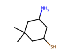 CC1(C)CC(N)CC(S)C1